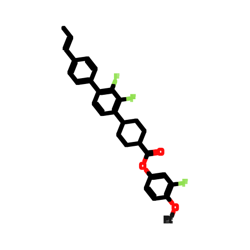 C/C=C/c1ccc(-c2ccc(C3CCC(C(=O)Oc4ccc(OCC)c(F)c4)CC3)c(F)c2F)cc1